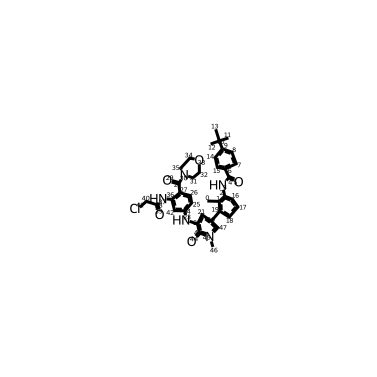 Cc1c(NC(=O)c2ccc(C(C)(C)C)cc2)cccc1-c1cc(Nc2ccc(C(=O)N3CCOCC3)c(NC(=O)CCl)c2)c(=O)n(C)c1